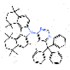 CC1(C)CCC(C)(C)c2c1ccc1c2c2c3c(cc4c2n1-c1ncnc2c1B4c1ccccc1C2(c1ccccc1)c1ccccc1)C(C)(C)CCC3(C)C